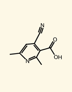 Cc1cc(C#N)c(C(=O)O)c(C)n1